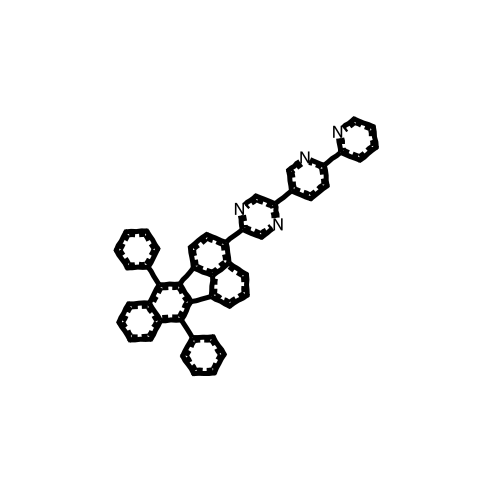 c1ccc(-c2c3c(c(-c4ccccc4)c4ccccc24)-c2ccc(-c4cnc(-c5ccc(-c6ccccn6)nc5)cn4)c4cccc-3c24)cc1